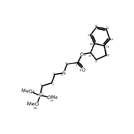 CO[Si](CCCSCC(=O)OC1CCc2ccccc21)(OC)OC